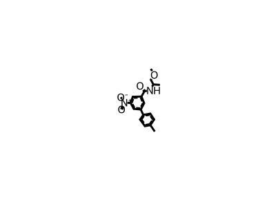 COCC(C)NC(=O)c1cc(-c2ccc(C)cc2)cc([N+](=O)[O-])c1